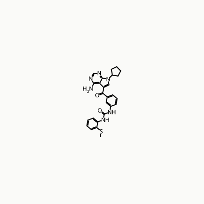 CSc1ccccc1NC(=O)Nc1cccc(C(=O)c2cn(C3CCCC3)c3ncnc(N)c23)c1